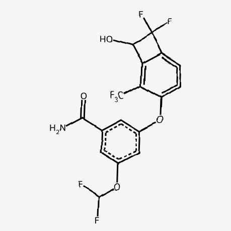 NC(=O)c1cc(OC2=C=C=C3C(=C2C(F)(F)F)C(O)C3(F)F)cc(OC(F)F)c1